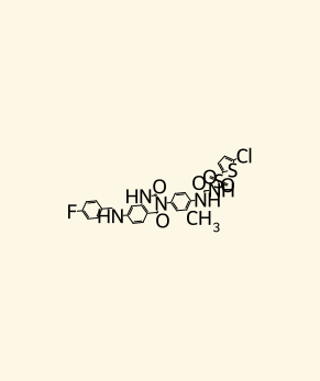 Cc1cc(-n2c(=O)[nH]c3cc(NCc4ccc(F)cc4)ccc3c2=O)ccc1NC(=O)NS(=O)(=O)c1ccc(Cl)s1